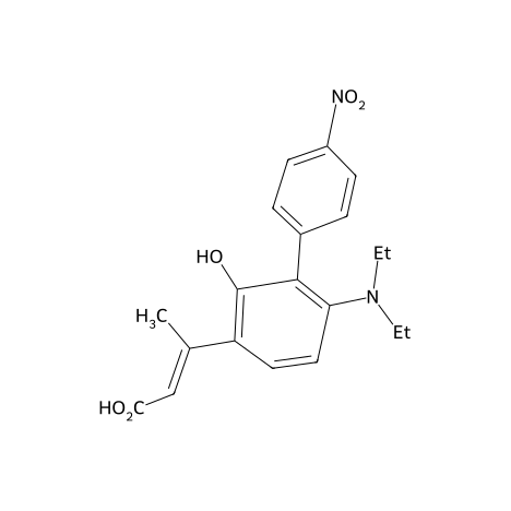 CCN(CC)c1ccc(C(C)=CC(=O)O)c(O)c1-c1ccc([N+](=O)[O-])cc1